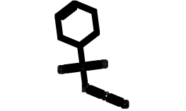 O=C=NS(=O)(=O)C1CC=CCC1